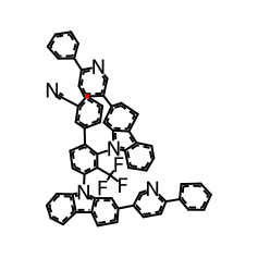 N#Cc1cccc(-c2ccc(-n3c4ccccc4c4ccc(-c5ccc(-c6ccccc6)nc5)cc43)c(C(F)(F)F)c2-n2c3ccccc3c3ccc(-c4ccc(-c5ccccc5)nc4)cc32)c1